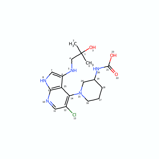 CC(C)(O)CNc1c[nH]c2ncc(Cl)c(N3CCCC(NC(=O)O)C3)c12